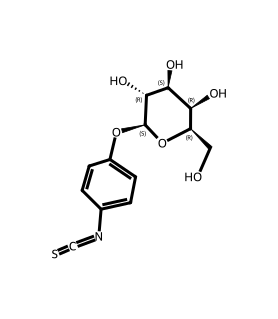 OC[C@H]1O[C@@H](Oc2ccc(N=C=S)cc2)[C@H](O)[C@@H](O)[C@H]1O